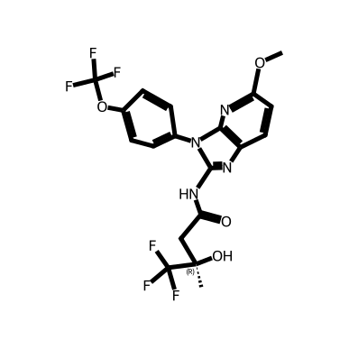 COc1ccc2nc(NC(=O)C[C@@](C)(O)C(F)(F)F)n(-c3ccc(OC(F)(F)F)cc3)c2n1